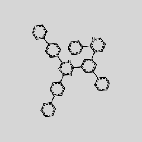 c1ccc(-c2ccc(-c3nc(-c4ccc(-c5ccccc5)cc4)nc(-c4cc(-c5ccccc5)cc(-c5cccnc5-c5ccccc5)c4)n3)cc2)cc1